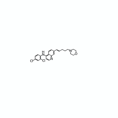 Clc1ccc(Nc2ccnc3cc(C=CCCCN4CCOCC4)ccc23)c(Cl)c1